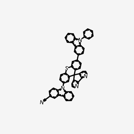 N#Cc1ccc2c(c1)c1ccccc1n2-c1ccc2c(c1)C1(c3ccc(-c4ccc5c(c4)c4ccccc4n5-c4ccccc4)cc3S2)c2cccnc2-c2ncccc21